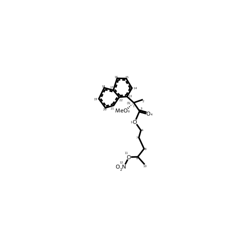 CO[C@](C)(C(=O)OCCCC(C)O[N+](=O)[O-])c1cccc2ccccc12